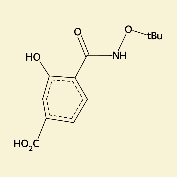 CC(C)(C)ONC(=O)c1ccc(C(=O)O)cc1O